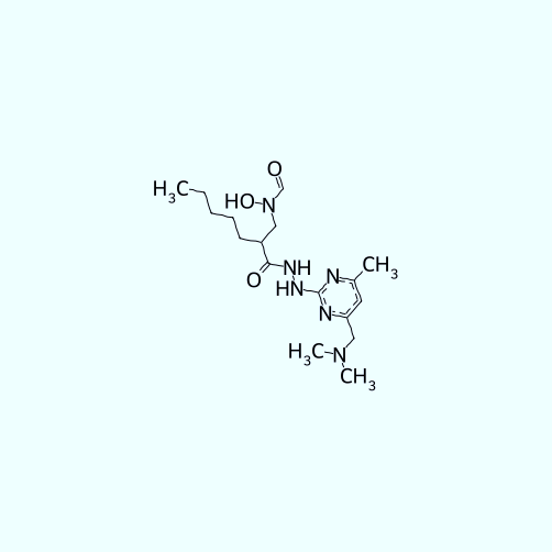 CCCCCC(CN(O)C=O)C(=O)NNc1nc(C)cc(CN(C)C)n1